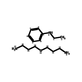 CCNc1ccccc1.NCCCOCCCN